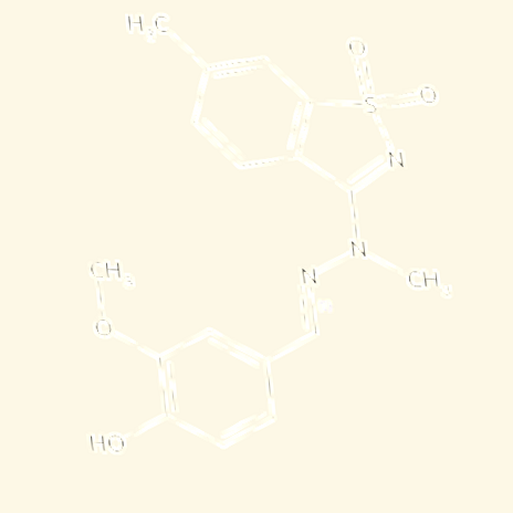 COc1cc(/C=N/N(C)C2=NS(=O)(=O)c3cc(C)ccc32)ccc1O